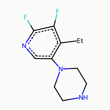 CCc1c(N2CCNCC2)[c]nc(F)c1F